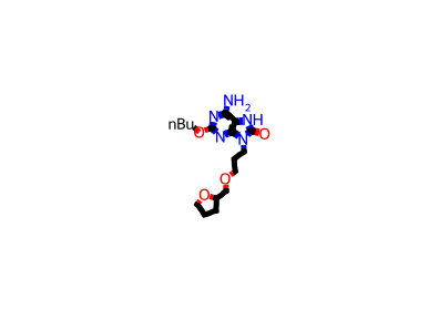 CCCCOc1nc(N)c2[nH]c(=O)n(CCCOCC3CCCO3)c2n1